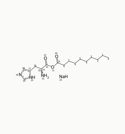 CCCCCCCCCC(=O)OC(=O)[C@@H](N)Cc1cnc[nH]1.[NaH]